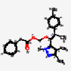 CCn1nc(C)c(C)c1/C(OCOC(=O)Cc1ccccc1)=C(\C#N)c1ccc(C(C)(C)C)cc1